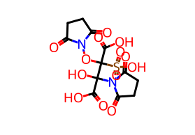 O=C1CCC(=O)N1OC(C(=O)O)(C(O)(C(=O)O)N1C(=O)CCC1=O)S(=O)(=O)O